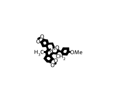 C=C(C(=O)c1ccc(OC)cc1)c1c2c3c(ccc2c(C)c2[n+]1CCc1cc4c(cc1-2)OCO4)OCO3